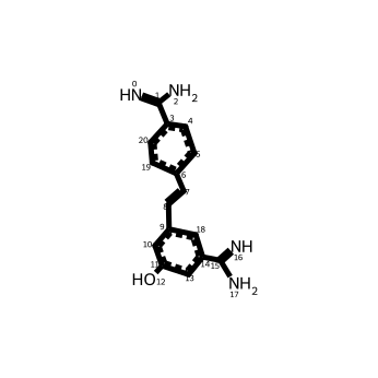 N=C(N)c1ccc(C=Cc2cc(O)cc(C(=N)N)c2)cc1